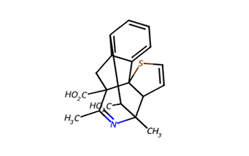 CC1=NC2(C)C(C(=O)O)c3cccc4c3CC1(C(=O)O)C41SC=CC21